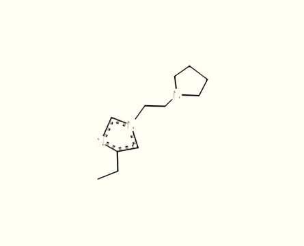 CCc1cn(CCN2CCCC2)cn1